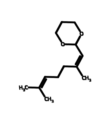 CC(C)=CCCC(C)=CC1OCCCO1